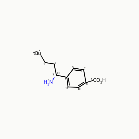 CC(C)(C)CC[C@@H](N)c1ccc(C(=O)O)cc1